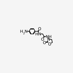 Nc1ccc(C(=O)NCC(=O)NN2CCOC2=O)cc1